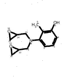 Cc1c(O)cccc1N(CC1CO1)CC1CO1